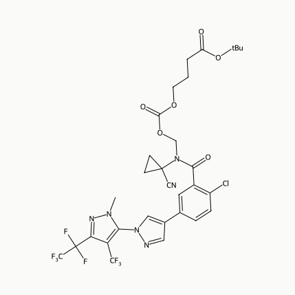 Cn1nc(C(F)(F)C(F)(F)F)c(C(F)(F)F)c1-n1cc(-c2ccc(Cl)c(C(=O)N(COC(=O)OCCCC(=O)OC(C)(C)C)C3(C#N)CC3)c2)cn1